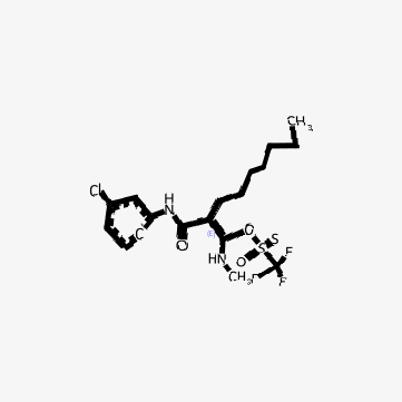 CCCCCCC/C(C(=O)Nc1cccc(Cl)c1)=C(/NC)OS(=O)(=S)C(F)(F)F